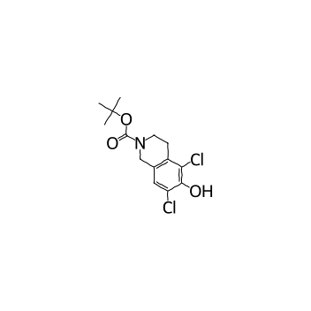 CC(C)(C)OC(=O)N1CCc2c(cc(Cl)c(O)c2Cl)C1